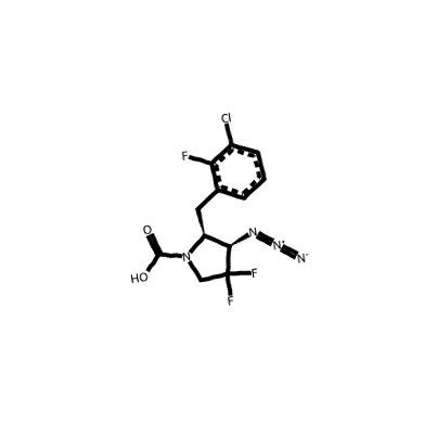 [N-]=[N+]=N[C@@H]1[C@H](Cc2cccc(Cl)c2F)N(C(=O)O)CC1(F)F